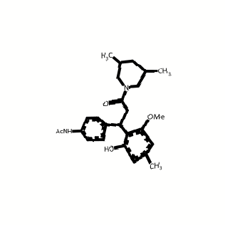 COc1cc(C)cc(O)c1C(CC(=O)N1CC(C)CC(C)C1)c1ccc(NC(C)=O)cc1